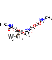 CCNCCOCCOCCC(=O)Nc1cccc(OCC(OCCOCC(=O)NCC)SSC(C)(C)C)c1